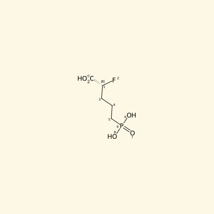 O=C(O)[C@H](F)CCCP(=O)(O)O